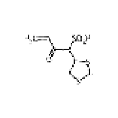 C=CC(=O)C(C1CS[CH]S1)S(=O)(=O)O